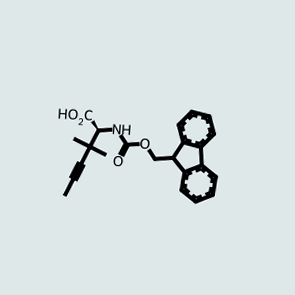 CC#CC(C)(C)[C@H](NC(=O)OCC1c2ccccc2-c2ccccc21)C(=O)O